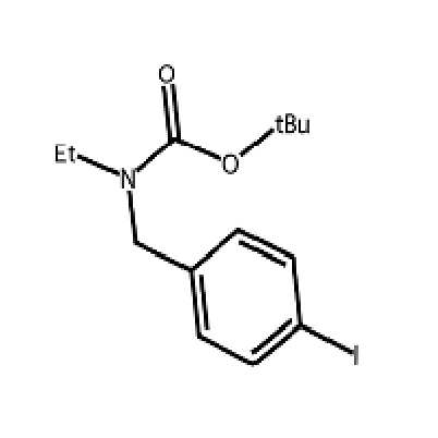 CCN(Cc1ccc(I)cc1)C(=O)OC(C)(C)C